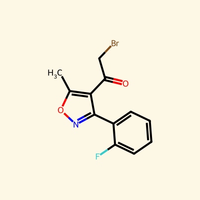 Cc1onc(-c2ccccc2F)c1C(=O)CBr